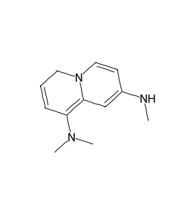 CNC1=CC2=C(N(C)C)C=CCN2C=C1